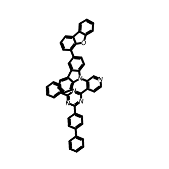 c1ccc(-c2ccc(-c3nc(-c4ccccc4)nc(-c4ccncc4-n4c5ccccc5c5cc(-c6cccc7c6oc6ccccc67)ccc54)n3)cc2)cc1